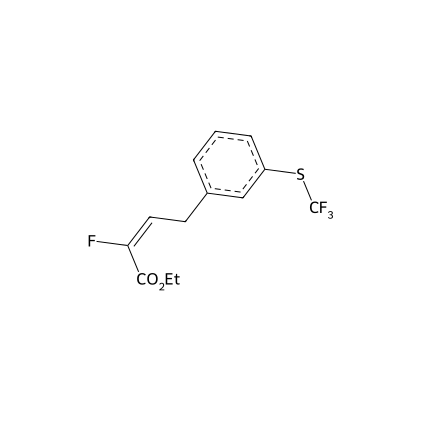 CCOC(=O)/C(F)=C\Cc1cccc(SC(F)(F)F)c1